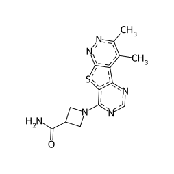 Cc1nnc2sc3c(N4CC(C(N)=O)C4)ncnc3c2c1C